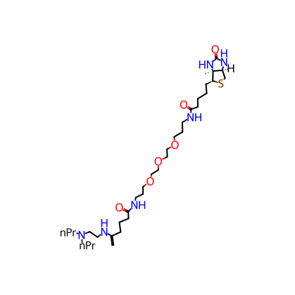 C=C(CCCC(=O)NCCCOCCOCCOCCCNC(=O)CCCC[C@@H]1SC[C@@H]2NC(=O)N[C@@]21C)NCCN(CCC)CCC